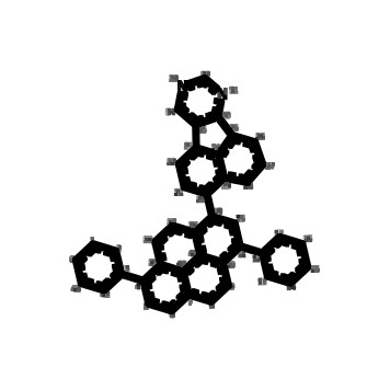 c1ccc(-c2ccc3ccc4c(-c5ccccc5)cc(-c5ccc6c7c(cccc57)-c5ncncc5-6)c5ccc2c3c45)cc1